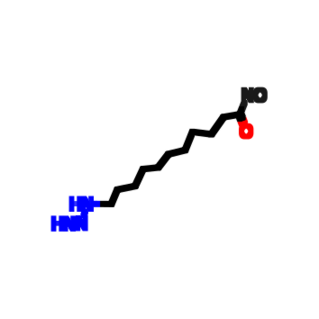 N=NNCCCCCCCCCCC(=O)N=O